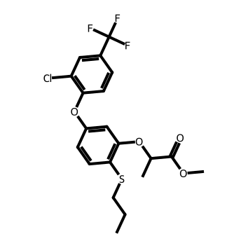 CCCSc1ccc(Oc2ccc(C(F)(F)F)cc2Cl)cc1OC(C)C(=O)OC